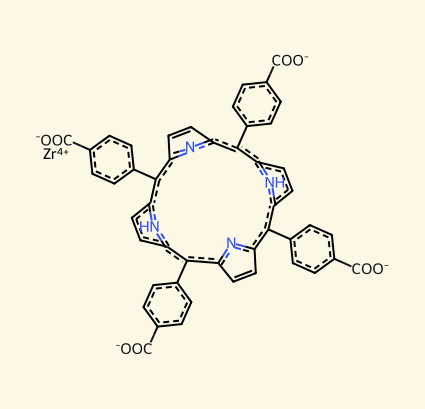 O=C([O-])c1ccc(-c2c3nc(c(-c4ccc(C(=O)[O-])cc4)c4ccc([nH]4)c(-c4ccc(C(=O)[O-])cc4)c4nc(c(-c5ccc(C(=O)[O-])cc5)c5ccc2[nH]5)C=C4)C=C3)cc1.[Zr+4]